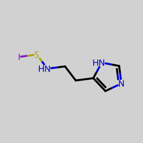 ISNCCc1cnc[nH]1